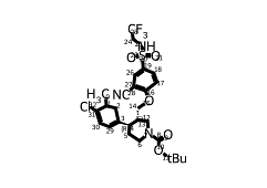 CC1CC([C@@H]2CCN(C(=O)OC(C)(C)C)C[C@H]2COc2ccc(S(=O)(=O)NCC(F)(F)F)cc2C#N)=CC=C1Cl